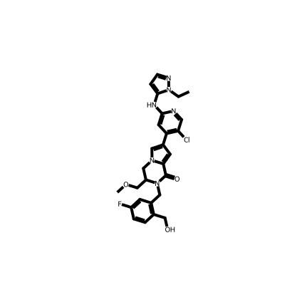 CCn1nccc1Nc1cc(-c2cc3n(c2)CC(COC)N(Cc2cc(F)ccc2CO)C3=O)c(Cl)cn1